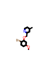 COc1ccc(Br)c(OCc2cc(C)ccn2)c1